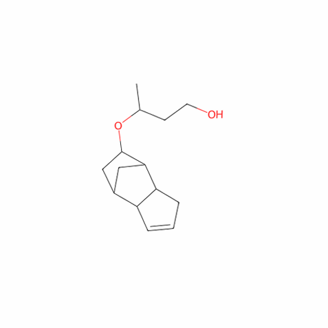 CC(CCO)OC1CC2CC1C1CC=CC21